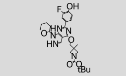 CC1(COc2nc(-c3ccc(O)c(F)c3)nc(NC3CCCCO3)c2C=N)CN(C(=O)OC(C)(C)C)C1